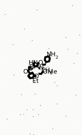 CCc1ccc(C(=O)N(C[C@@H]2CNC[C@H]2CN(C)C(=O)C[C@H]2CC[C@@H](N)CC2)C(C)C)cc1OCCCOC